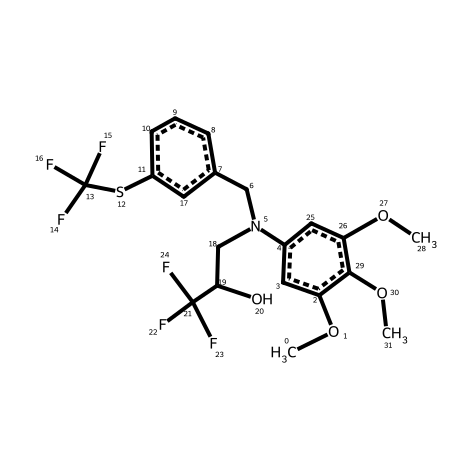 COc1cc(N(Cc2cccc(SC(F)(F)F)c2)CC(O)C(F)(F)F)cc(OC)c1OC